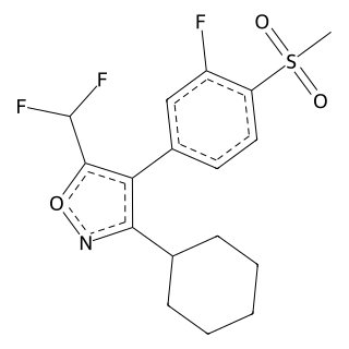 CS(=O)(=O)c1ccc(-c2c(C3CCCCC3)noc2C(F)F)cc1F